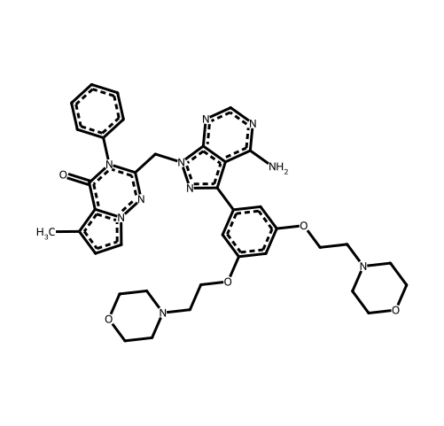 Cc1ccn2nc(Cn3nc(-c4cc(OCCN5CCOCC5)cc(OCCN5CCOCC5)c4)c4c(N)ncnc43)n(-c3ccccc3)c(=O)c12